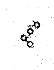 Cc1cccnc1Nc1ccc(Oc2ncccc2C2CCOCC2)cc1